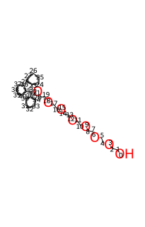 OCCOCCOCCOCCOCCOCCOCCOC(c1ccccc1)(c1ccccc1)c1ccccc1